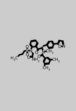 CCCCS(=O)(=O)N(CC(N)=O)c1ccccc1C(=O)[C@H](Cc1ccc(-c2ccno2)cc1)N(C)C(=O)c1cc(C)cc(C)c1